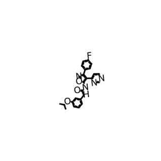 CC(C)Oc1cccc(CC(=O)Nc2onc(-c3ccc(F)cc3)c2-c2ccncn2)c1